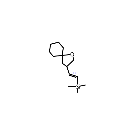 C[Si](C)(C)/C=C/C1COC2(CCCCC2)C1